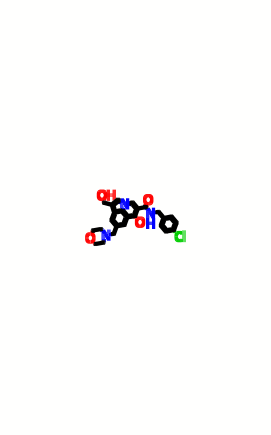 O=C(NCc1ccc(Cl)cc1)c1cn2cc(CO)c3cc(CN4CCOCC4)cc(c1=O)c32